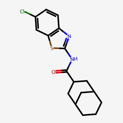 O=C(Nc1nc2ccc(Cl)cc2s1)C1CC2CCCC(C2)C1